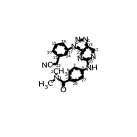 CN(C)C(=O)c1ccc(Nc2ncc3nnn(-c4cccc(CC#N)c4)c3n2)cc1